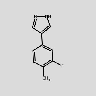 Cc1ccc(-c2cn[nH]c2)cc1F